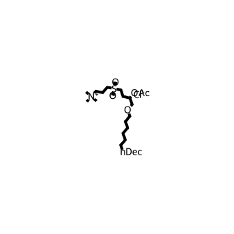 CCCCCCCCCCCCCCCCOCC(CCS(=O)(=O)CCC[N+](C)(C)C)OC(C)=O.[Cl-]